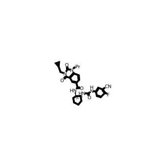 CC(C)n1c(=O)n(CC2CC2)c(=O)c2cc(C(=O)N[C@@H]3CCCC[C@H]3NC(=O)Nc3ccc(F)c(C#N)c3)ccc21